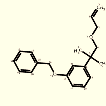 C=CCOCC(C)(C)c1cccc(OCc2ccccc2)c1